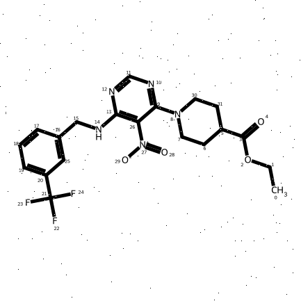 CCOC(=O)C1CCN(c2ncnc(NCc3cccc(C(F)(F)F)c3)c2[N+](=O)[O-])CC1